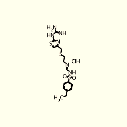 CCc1ccc(S(=O)(=O)NC=NCCSCc2csc(NC(=N)N)n2)cc1.Cl